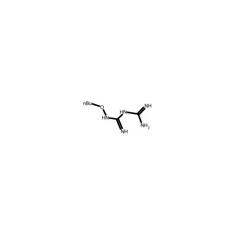 CCCCONC(=N)NC(=N)N